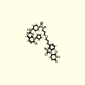 CN(CCCOCCCc1cccc2c1n(C)c(=O)n2C1CCC(=O)NC1=O)[S+]([O-])N1CCC(Nc2ncc3ccc(=O)n(C4CCCC4)c3n2)CC1